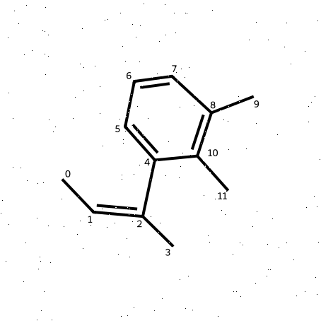 C/C=C(/C)c1cccc(C)c1C